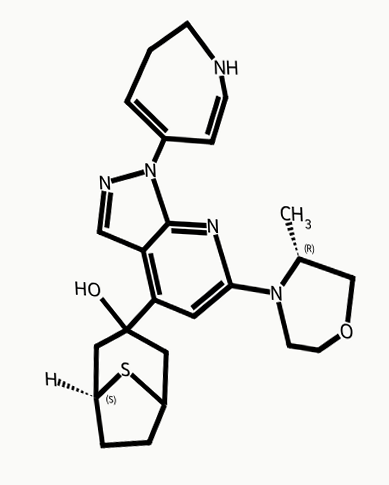 C[C@@H]1COCCN1c1cc(C2(O)CC3CC[C@@H](C2)S3)c2cnn(C3=CCCNC=C3)c2n1